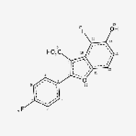 O=C(O)c1c(-c2ccc(F)cc2)oc2ccc(O)c(F)c12